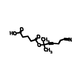 CC(C)(C#CCCC#N)OC(=O)CCCC(=O)O